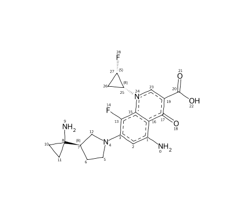 Nc1cc(N2CC[C@@H](C3(N)CC3)C2)c(F)c2c1c(=O)c(C(=O)O)cn2[C@@H]1C[C@@H]1F